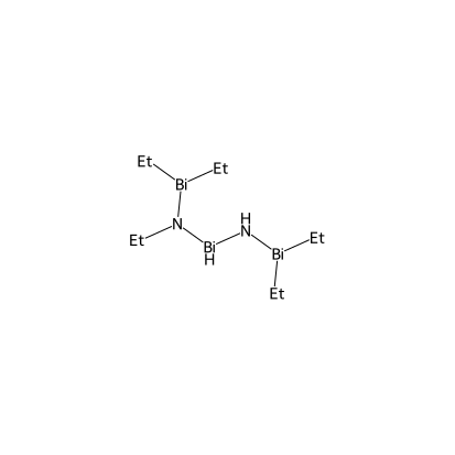 CC[N]([BiH][NH][Bi]([CH2]C)[CH2]C)[Bi]([CH2]C)[CH2]C